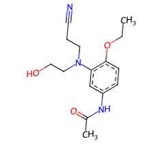 CCOc1ccc(NC(C)=O)cc1N(CCO)CCC#N